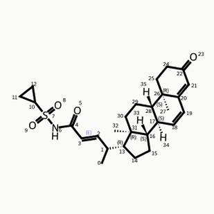 CC(/C=C/C(=O)NS(=O)(=O)C1CC1)[C@H]1CC[C@H]2[C@@H]3C=CC4=CC(=O)CC[C@]4(C)[C@H]3CC[C@]12C